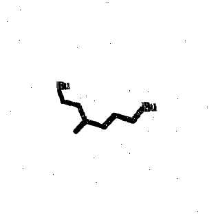 CCC(C)CCCC(C)CCC(C)CC